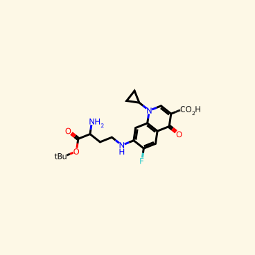 CC(C)(C)OC(=O)C(N)CCNc1cc2c(cc1F)c(=O)c(C(=O)O)cn2C1CC1